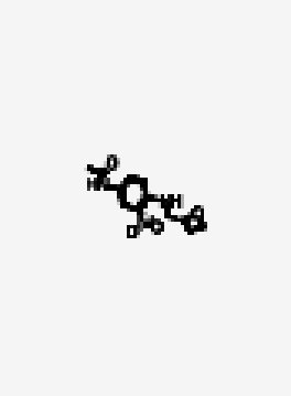 CC(=O)Nc1ccc(NC[C@@H]2CCO2)c([N+](=O)[O-])c1